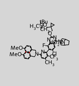 COc1ccc(CN(Cc2ccc(OC)cc2)c2cc(C)c(C(F)(F)F)c(-c3c(Cl)cc4c(N5CC6CCC(C5)N6C(=O)O)nc(OCC5(CO[Si](C)(C)C(C)(C)C)CC5)nc4c3F)n2)cc1